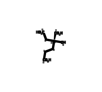 O=C(O)CC[C@](O)(CC(=O)O)C(=O)O